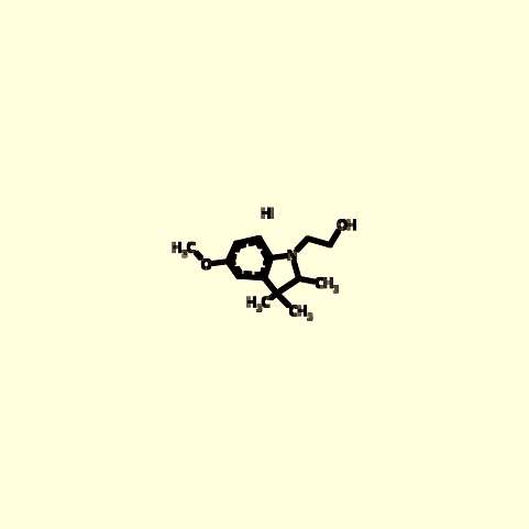 COc1ccc2c(c1)C(C)(C)C(C)N2CCO.I